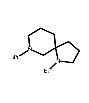 CCN1CCCC12CCCN(C(C)C)C2